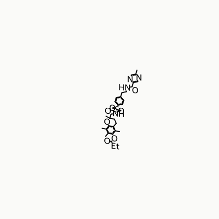 CCC(=O)Oc1c(C)c(C)c2c(c1C)CCC(C)(C(=O)NS(=O)(=O)c1ccc(CCNC(=O)c3cnc(C)cn3)cc1)O2